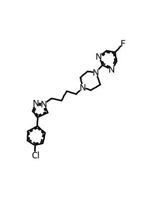 Fc1cnc(N2CCN(CCCCn3cc(-c4ccc(Cl)cc4)cn3)CC2)nc1